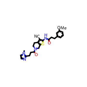 COc1cccc(CCC(=O)Nc2sc3c(c2C#N)CCN(C(=O)CCc2nccn2C)C3)c1